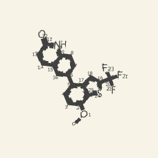 COc1ccc(-c2ccc3[nH]c(=O)ccc3c2)c2cc(C(F)(F)F)sc12